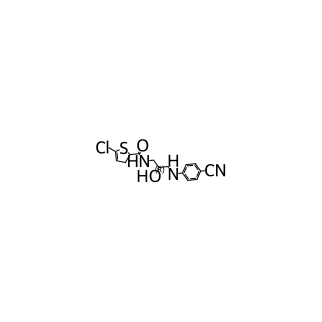 N#Cc1ccc(NC[C@@H](O)CNC(=O)C2CC=C(Cl)S2)cc1